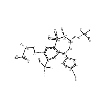 C[C@H](COc1cc2c(cc1C(F)(F)F)N(c1ccc(F)cc1)C[C@H](CCC(C)(F)F)[C@H](F)S2(=O)=O)C(=O)O